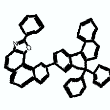 c1ccc(-c2nc3ccc4ccc5ccc(-c6ccc7c(c6)C(c6ccccc6)(c6ccccc6)c6ccc8ccccc8c6-7)cc5c4c3o2)cc1